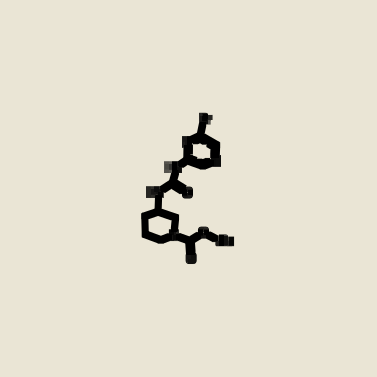 CC(C)(C)OC(=O)N1CCCC(NC(=O)Nc2cncc(Br)n2)C1